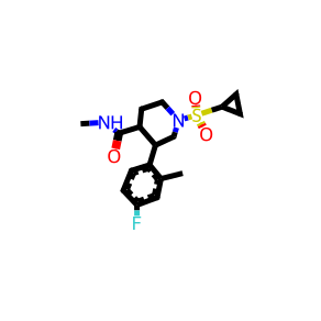 CNC(=O)C1CCN(S(=O)(=O)C2CC2)CC1c1ccc(F)cc1C